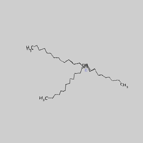 CCCCCCCC/C=C/[SiH](CCCCCCCCCCCC)CCCCCCCCCCCC